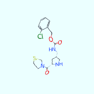 O=C(NC[C@@H]1CN[C@H](C(=O)N2CCSC2)C1)OCc1ccccc1Cl